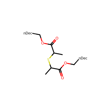 CCCCCCCCCCCOC(=O)C(C)SC(C)C(=O)OCCCCCCCCCCC